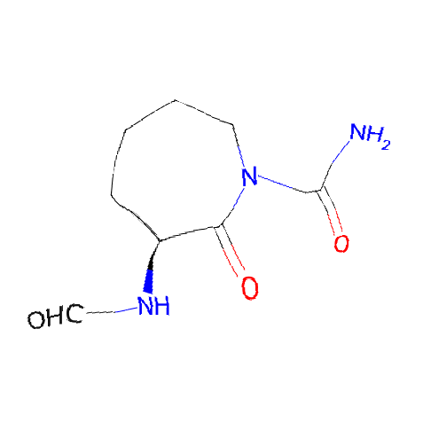 NC(=O)N1CCCC[C@H](NC=O)C1=O